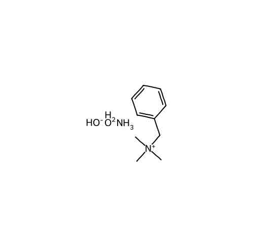 C[N+](C)(C)Cc1ccccc1.N.O.[OH-]